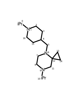 CC(C)N1CCC(CN2CCN(C(C)C)CC23CC3)CC1